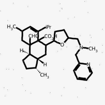 CC1C=C(C(C)C)C2(C(=O)O)C(C3CCC(CN(C)Cc4ccccn4)O3)C[C@@H]3[C@H](C)CC[C@H]3C2(C=O)C1